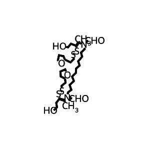 CC(=C(CCO)SSCCC1CCCO1)N(C=O)CCCCCCCCCCCCN(C=O)C(C)=C(CCO)SSCCC1CCCO1